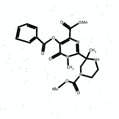 COC(=O)c1nc(C2(C)CN(C(=O)OC(C)(C)C)CCN2)n(C)c(=O)c1OC(=O)c1ccccc1